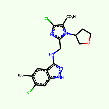 CC(C)(C)c1cc2c(NCc3nc(Cl)c(C(=O)O)n3C3CCOC3)n[nH]c2cc1Cl